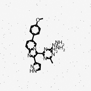 COc1ccc(-c2ccc3nc(-c4cc[nH]n4)c(-c4nc(C)nc(N)n4)n3c2)cc1.NN